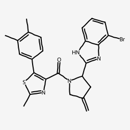 C=C1CC(c2nc3c(Br)cccc3[nH]2)N(C(=O)c2nc(C)sc2-c2ccc(C)c(C)c2)C1